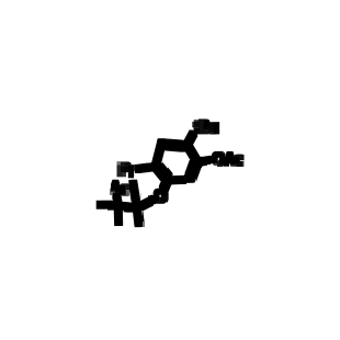 CC(=O)Oc1cc(OC(C)(C)C(C)(C)C(C)=O)c(C(C)C)cc1C(C)(C)C